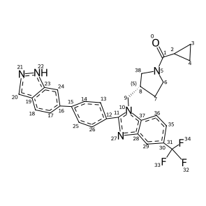 O=C(C1CC1)N1CC[C@H](Cn2c(-c3ccc(-c4ccc5cn[nH]c5c4)cc3)nc3cc(C(F)(F)F)ccc32)C1